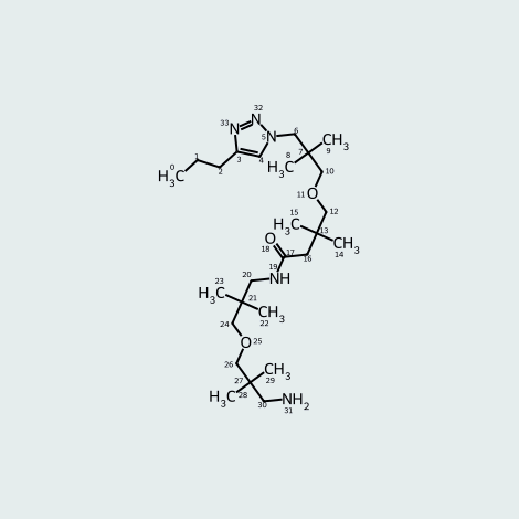 CCCc1cn(CC(C)(C)COCC(C)(C)CC(=O)NCC(C)(C)COCC(C)(C)CN)nn1